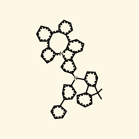 CC1(C)c2ccccc2-c2c(N(c3ccc(-c4ccccc4)cc3)c3ccc4c(c3)c3cccc5c6ccccc6c6ccccc6c6ccccc6n4c53)cccc21